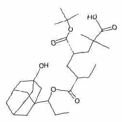 CCC(CC(CC(C)(C)C(=O)O)C(=O)OC(C)(C)C)C(=O)OC(CC)C12CC3CC(CC(O)(C3)C1)C2